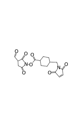 O=CC1CC(=O)N(OC(=O)C2CCC(CN3C(=O)C=CC3=O)CC2)C1=O